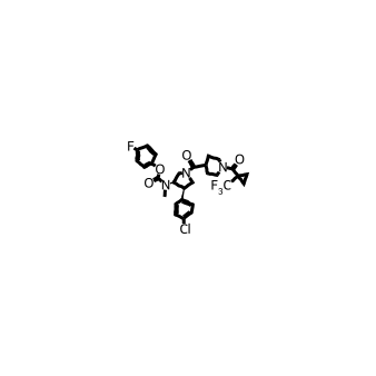 CN(C(=O)Oc1ccc(F)cc1)[C@@H]1CN(C(=O)C2CCN(C(=O)C3(C(F)(F)F)CC3)CC2)C[C@H]1c1ccc(Cl)cc1